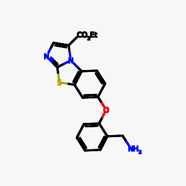 CCOC(=O)c1cnc2sc3cc(Oc4ccccc4CN)ccc3n12